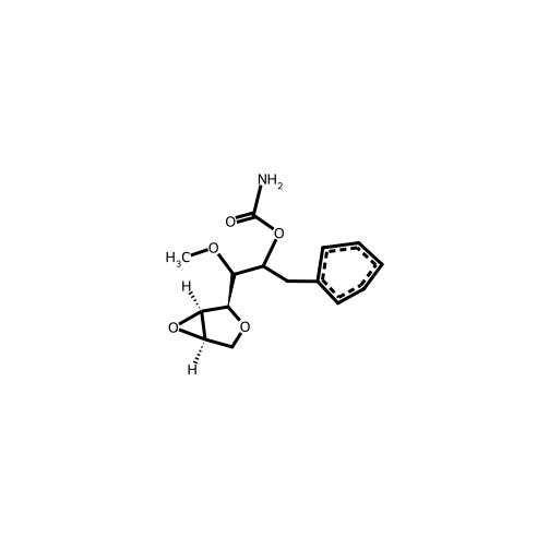 COC(C(Cc1ccccc1)OC(N)=O)[C@H]1OC[C@H]2O[C@@H]12